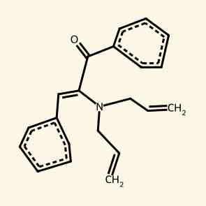 C=CCN(CC=C)C(=Cc1ccccc1)C(=O)c1ccccc1